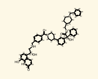 O=C(c1ccc(CNC[C@H](O)c2ccc(O)c3[nH]c(=O)ccc23)cc1)N1CCC(c2cccc([C@](O)(C(=O)OCC3CCN(Cc4ccccc4)CC3)c3ccccc3)c2)CC1